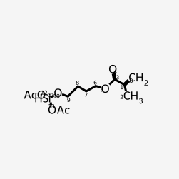 C=C(C)C(=O)OCCCCO[SiH](OC(C)=O)OC(C)=O